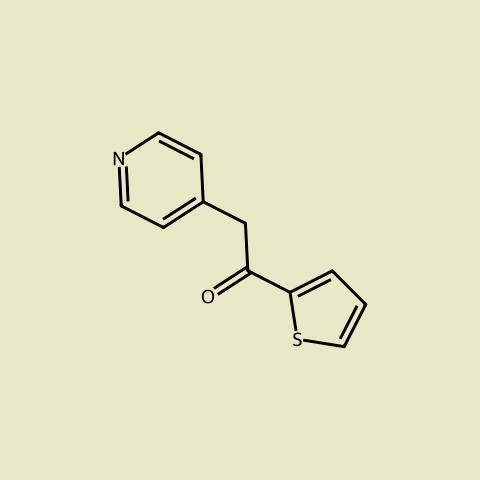 O=C(Cc1ccncc1)c1cccs1